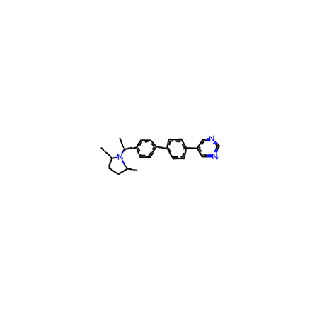 CC1CCC(C)N1C(C)c1ccc(-c2ccc(-c3cncnc3)cc2)cc1